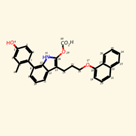 Cc1cc(O)ccc1-c1cccc2c(CCCOc3cccc4ccccc34)c(OC(=O)O)[nH]c12